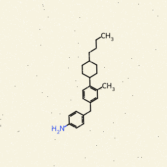 CCCCC1CCC(c2ccc(Cc3ccc(N)cc3)cc2C)CC1